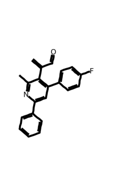 C=C(C=O)c1c(-c2ccc(F)cc2)cc(-c2ccccc2)nc1C